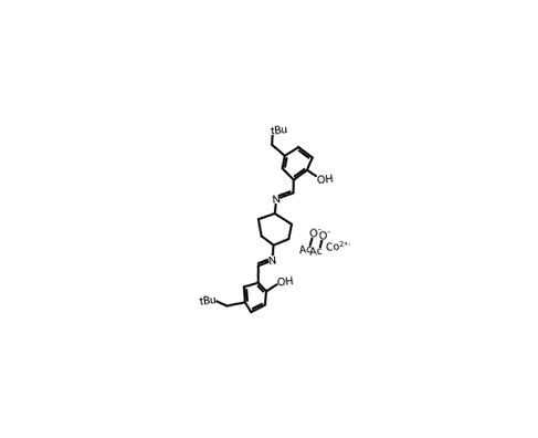 CC(=O)[O-].CC(=O)[O-].CC(C)(C)Cc1ccc(O)c(C=NC2CCC(N=Cc3cc(CC(C)(C)C)ccc3O)CC2)c1.[Co+2]